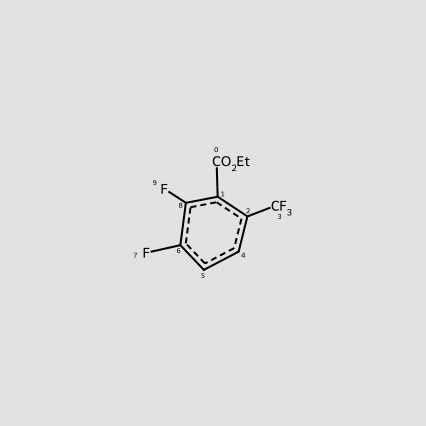 CCOC(=O)c1c(C(F)(F)F)ccc(F)c1F